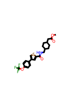 COC(=O)CC1CCC(CNC(=O)c2cc(-c3ccc(OC(F)(F)F)cc3)cs2)CC1